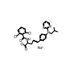 CC(C)CN(c1ccc(C=CCC(NC(=O)c2c(Cl)cccc2Cl)C(=O)[O-])cc1)c1ncccn1.[Na+]